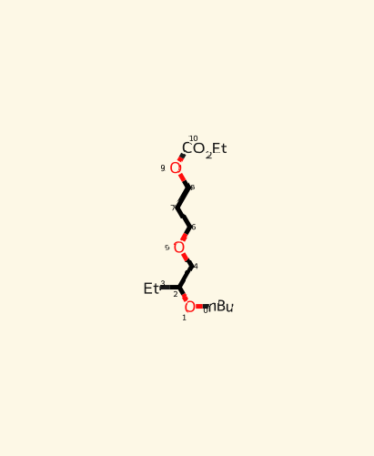 CCCCOC(CC)COCCCOC(=O)OCC